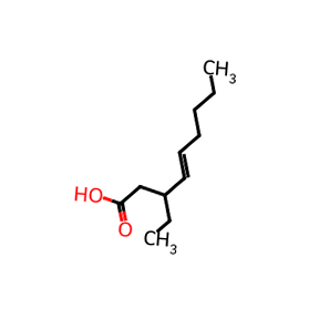 CCCCC=CC(CC)CC(=O)O